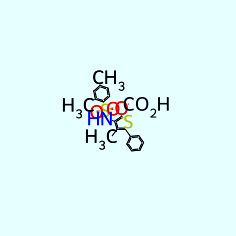 Cc1ccc(S(=O)(=O)Nc2c(OC(=O)O)sc(-c3ccccc3)c2C)c(C)c1